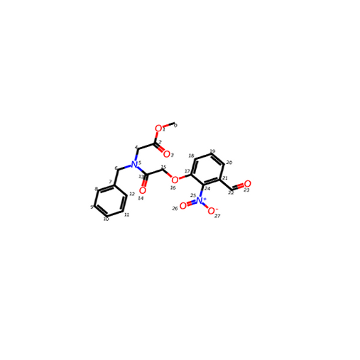 COC(=O)CN(Cc1ccccc1)C(=O)COc1cccc(C=O)c1[N+](=O)[O-]